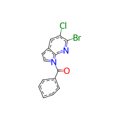 O=C(c1ccccc1)n1ccc2cc(Cl)c(Br)nc21